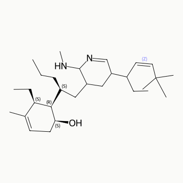 CCC[C@@H](CC1CC(C(/C=C\C(C)(C)C)CC)C=NC1NC)[C@@H]1[C@H](CC)C(C)=CC[C@@H]1O